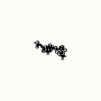 COC(=O)CCNC(=O)[C@@H]1OP(=O)(OCOC(=O)[C@H]2COC(=O)N2C(=O)OC(C)(C)C)OCC1(C)C